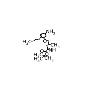 CCCCc1ccc(N)cc1OCC(C)CC(=N)C(=O)OC(C)(C)C